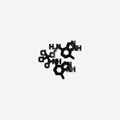 Cc1ccc(N)c2cn[nH]c12.Cc1ccc(NC(=O)C(Cl)(Cl)Cl)c2cn[nH]c12